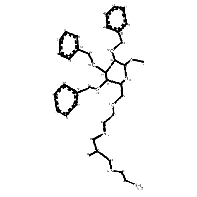 COC1OC(COCCSCC(C)CSCCN)C(OCc2ccccc2)C(OCc2ccccc2)C1OCc1ccccc1